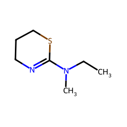 CCN(C)C1=NCCCS1